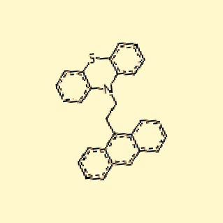 c1ccc2c(c1)Sc1ccccc1N2CCc1c2ccccc2cc2ccccc12